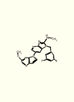 CNc1nc2ncc(-n3ccc4ncc(OC)nc43)cc2n1Cc1cc(F)cc(F)c1